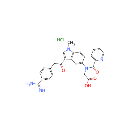 Cl.Cn1cc(C(=O)Cc2ccc(C(=N)N)cc2)c2cc(N(CC(=O)O)C(=O)c3ccccn3)ccc21